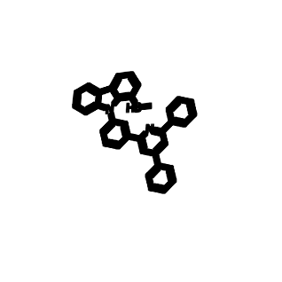 CBc1cccc2c3ccccc3n(-c3cccc(-c4cc(-c5ccccc5)cc(-c5ccccc5)n4)c3)c12